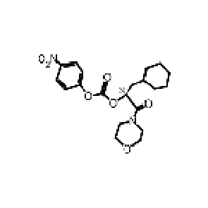 O=C(Oc1ccc([N+](=O)[O-])cc1)O[C@@H](CC1CCCCC1)C(=O)N1CCOCC1